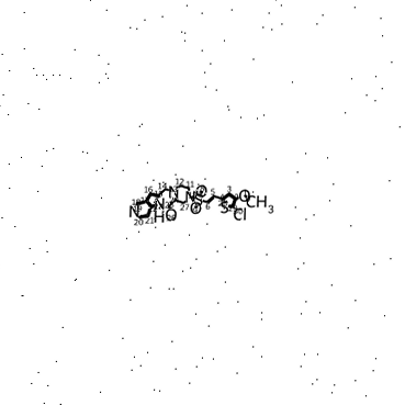 COc1cc(C=CS(=O)(=O)N2CCN(Cc3cc4cnccc4[nH]3)C(C=O)C2)sc1Cl